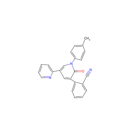 Cc1ccc(-n2cc(-c3ccccn3)cc(-c3ccccc3C#N)c2=O)cc1